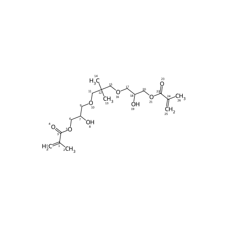 C=C(C)C(=O)OCC(O)COCC(C)(C)COCC(O)COC(=O)C(=C)C